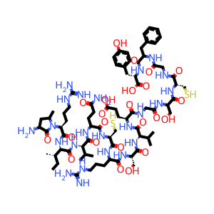 CC[C@H](C)[C@H](NC(=O)[C@H](CCCNC(=N)N)N1C(=O)C(N)CC1C)C(=O)N[C@H](C(=O)NC(CCC(N)=O)C(=O)N[C@@H](CS)C(=O)NC(CCCNC(=N)N)C(=O)N[C@@H](CO)C(=O)N[C@H](C(=O)N[C@@H](CCC(=O)O)C(=O)NCC(=O)NC(CO)C(=O)N[C@@H](CS)C(=O)NCC(=O)NC(Cc1ccccc1)C(=O)N[C@@H](Cc1ccc(O)cc1)C(=O)O)C(C)C)C(C)C